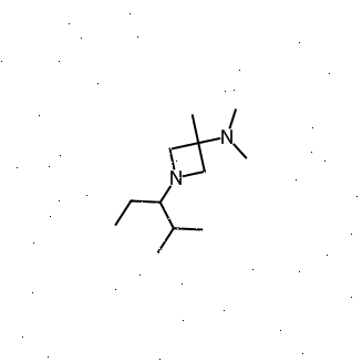 CCC(C(C)C)N1CC(C)(N(C)C)C1